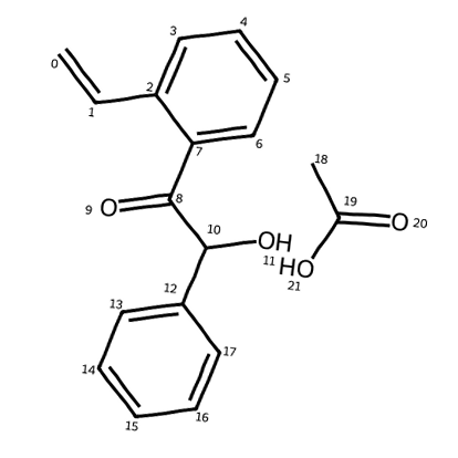 C=Cc1ccccc1C(=O)C(O)c1ccccc1.CC(=O)O